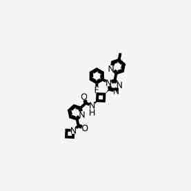 Cc1ccc(-c2nnc([C@H]3C[C@H](NC(=O)c4cccc(C(=O)N5CCC5)n4)C3)n2-c2ccccc2F)nc1